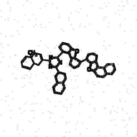 CC12C=CC=CC1CC(c1nc(-c3ccc4ccccc4c3)nc(-c3cccc4oc5c(-c6cccc7c6oc6ccc8ccccc8c67)cccc5c34)n1)=CC2